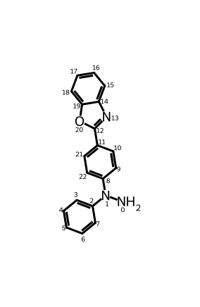 NN(c1ccccc1)c1ccc(-c2nc3ccccc3o2)cc1